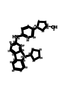 O[C@H]1CCN(c2ccc(Nc3ncc4c5ccccc5n(C5CCCC5)c4n3)nc2)C1